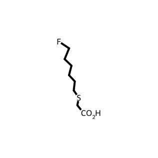 O=C(O)CSCCCCCCF